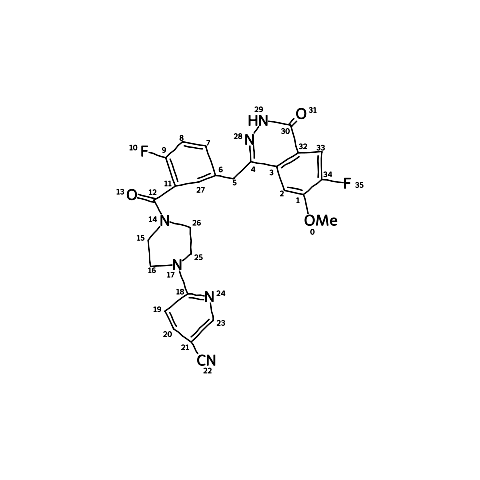 COc1cc2c(Cc3ccc(F)c(C(=O)N4CCN(c5ccc(C#N)cn5)CC4)c3)n[nH]c(=O)c2cc1F